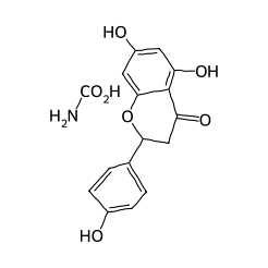 NC(=O)O.O=C1CC(c2ccc(O)cc2)Oc2cc(O)cc(O)c21